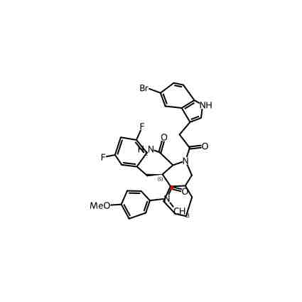 COc1ccc(N(C)C(=O)[C@@H](Cc2cc(F)cc(F)c2)C(C(N)=O)N(CC2CCCCC2)C(=O)Cc2c[nH]c3ccc(Br)cc23)cc1